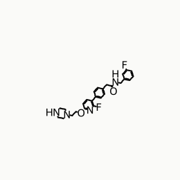 O=C(Cc1ccc(-c2ccc(OCCN3CCNCC3)nc2F)cc1)NCc1cccc(F)c1